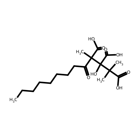 CCCCCCCCC(=O)C(C)(C(=O)O)C(O)(C(=O)O)C(C)(C)C(=O)O